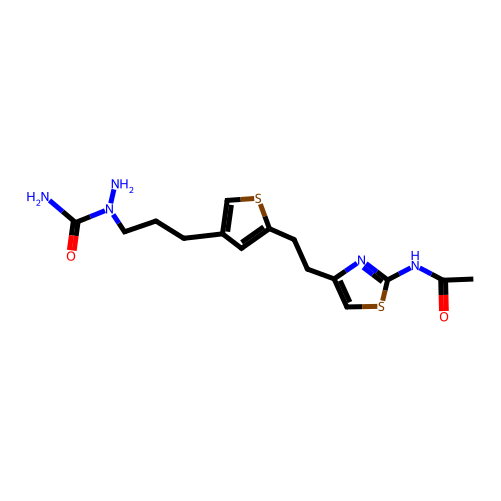 CC(=O)Nc1nc(CCc2cc(CCCN(N)C(N)=O)cs2)cs1